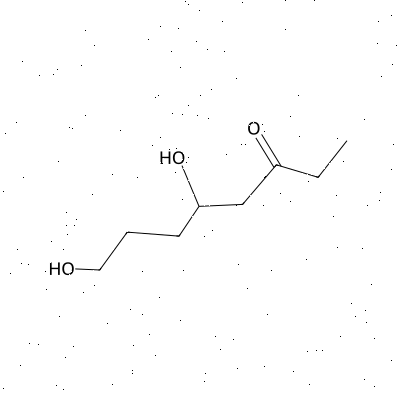 CCC(=O)CC(O)CCCO